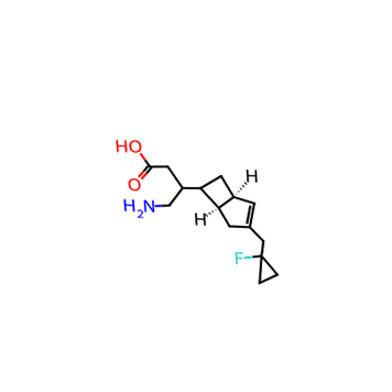 NCC(CC(=O)O)C1C[C@H]2C=C(CC3(F)CC3)C[C@@H]12